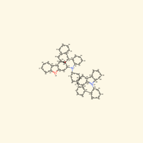 c1cc(-c2ccc(N(c3ccc4c(c3)oc3ccccc34)c3ccccc3-c3cccc4ccccc34)cc2)cc(-c2ccccc2-n2c3ccccc3c3ccccc32)c1